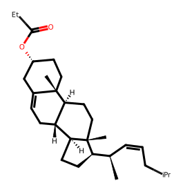 CCC(=O)O[C@@H]1CC[C@@]2(C)C(=CC[C@H]3[C@@H]4CC[C@H]([C@H](C)/C=C\CC(C)C)[C@@]4(C)CC[C@@H]32)C1